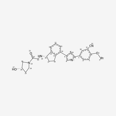 CC(C)Oc1ccc(-c2ncc(-c3cccc4c3CC[C@@H]4NCC(=O)N3CC[C@H](O)C3)s2)cc1C#N